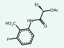 CC[C@@H](OC(C)=O)C(=O)Nc1cccc(F)c1C(=O)O